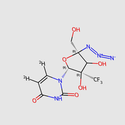 [2H]c1c([2H])n([C@@H]2O[C@@](CO)(N=[N+]=[N-])C(O)[C@]2(O)C(F)(F)F)c(=O)[nH]c1=O